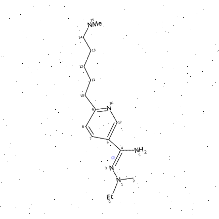 CCN(C)/N=C(\N)c1ccc(CCCCCNC)nc1